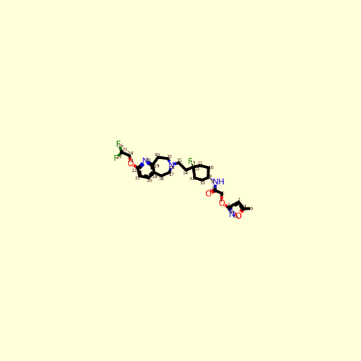 Cc1cc(OCC(=O)N[C@H]2CC[C@](F)(CCN3CCc4ccc(OCC(F)F)nc4CC3)CC2)no1